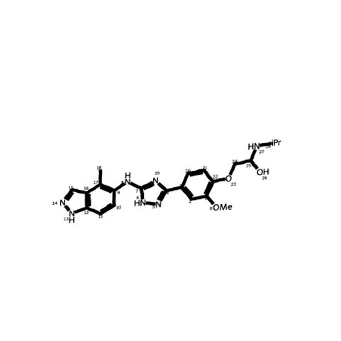 COc1cc(-c2n[nH]c(Nc3ccc4[nH]ncc4c3C)n2)ccc1OCC(O)NC(C)C